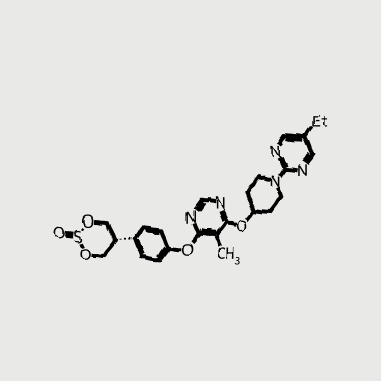 CCc1cnc(N2CCC(Oc3ncnc(Oc4ccc([C@H]5CO[S@@](=O)OC5)cc4)c3C)CC2)nc1